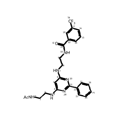 CC(=O)NCCNc1cc(NCCNC(=O)c2cccc(C(F)(F)F)c2)nc(-c2ccccc2)n1